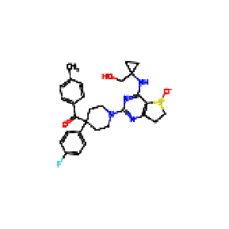 Cc1ccc(C(=O)C2(c3ccc(F)cc3)CCN(c3nc4c(c(NC5(CO)CC5)n3)[S+]([O-])CC4)CC2)cc1